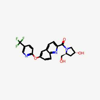 O=C(c1ccc2cc(Oc3ccc(C(F)(F)F)cn3)ccc2n1)N1C[C@H](O)C[C@H]1CO